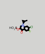 CC1CC1n1cc(OC(=O)O)c(=O)c2cc(F)c(Cl)cc21